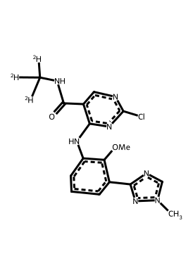 [2H]C([2H])([2H])NC(=O)c1cnc(Cl)nc1Nc1cccc(-c2ncn(C)n2)c1OC